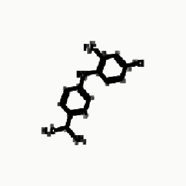 CC(N)c1ccc(Nc2ccc(Cl)cc2C(F)(F)F)cn1